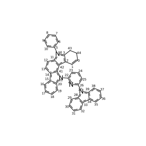 C1=Cc2c(n(-c3ccccc3)c3ccc4c5ccccc5n(-c5cccc(-n6c7ccccc7c7ccccc76)n5)c4c23)CC1